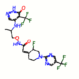 CC(CONC(=O)/C=C1/CCN(c2ncc(C(F)(F)F)cn2)CC1F)Nc1cn[nH]c(=O)c1C(F)(F)F